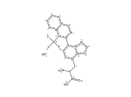 Cl.NC(Cc1ccc(-c2ncc3ccccc3c2C(F)(F)F)c2nccn12)C(=O)O